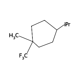 CC(C)C1CCC(C)(C(F)(F)F)CC1